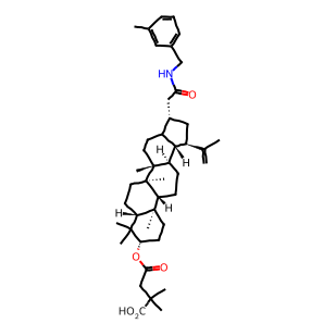 C=C(C)[C@@H]1C[C@@H](CC(=O)NCc2cccc(C)c2)C2CC[C@]3(C)[C@H](CC[C@@H]4[C@@]5(C)CC[C@H](OC(=O)CC(C)(C)C(=O)O)C(C)(C)[C@@H]5CC[C@]43C)[C@H]21